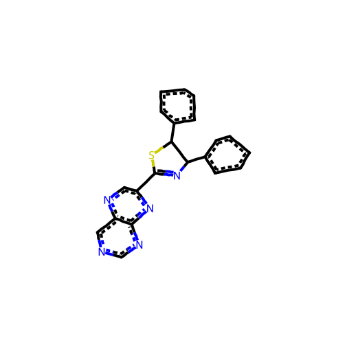 c1ccc(C2N=C(c3cnc4cncnc4n3)SC2c2ccccc2)cc1